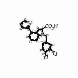 O=C(O)c1cc2c(-c3cccs3)cccc2n1Cc1ccc(Cl)c(Cl)c1